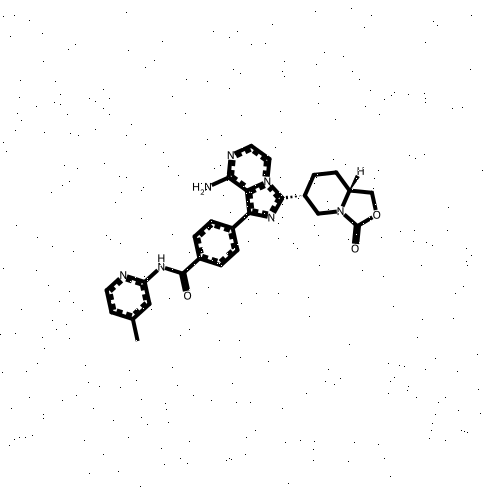 Cc1ccnc(NC(=O)c2ccc(-c3nc([C@@H]4CC[C@@H]5COC(=O)N5C4)n4ccnc(N)c34)cc2)c1